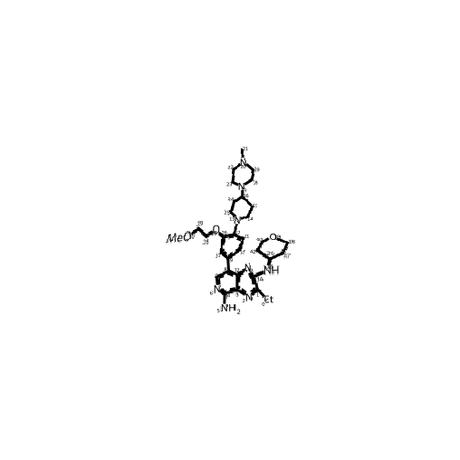 CCc1nc2c(N)ncc(-c3ccc(N4CCC(N5CCN(C)CC5)CC4)c(OCCOC)c3)c2nc1NC1CCOCC1